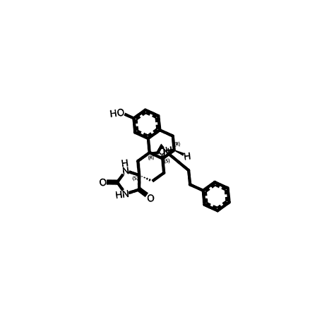 O=C1NC(=O)[C@@]2(CC[C@@]3(O)[C@H]4Cc5ccc(O)cc5[C@@]3(CCN4CCc3ccccc3)C2)N1